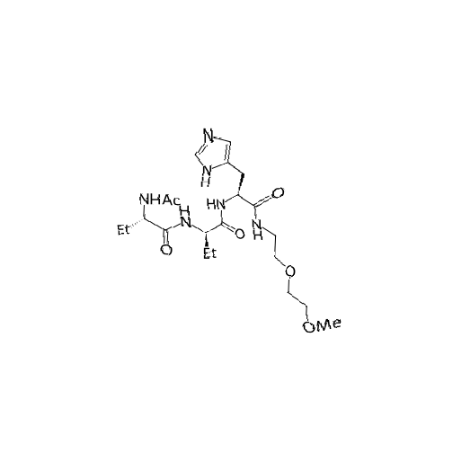 CC[C@H](NC(C)=O)C(=O)N[C@H](CC)C(=O)N[C@@H](Cc1cnc[nH]1)C(=O)NCCOCCOC